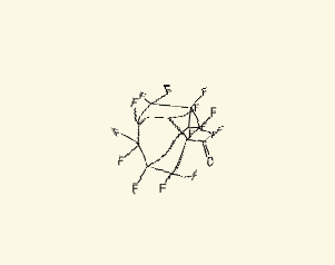 O=C(F)C12C(F)C3(F)C(F)(F)C(F)(C1(F)F)C(F)(F)C(F)(C3(F)F)C2(F)F